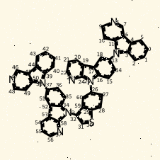 c1ccc2c(c1)c1cnccc1n2-c1ccc2c(c1)c1cccnc1n2-c1ccc2scc(-n3c4ccc(-n5c6ccccc6c6cnccc65)cc4c4cccnc43)c2c1